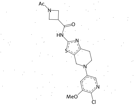 COc1cc(N2CCc3nc(NC(=O)C4CN(C(C)=O)C4)sc3C2)cnc1Cl